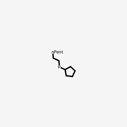 CCCCCCC[P]C1CCCC1